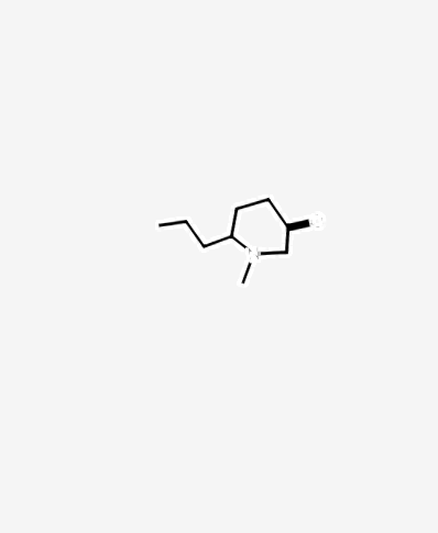 CCCC1CCC(=O)CN1C